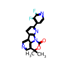 CC1(C)OC(=O)n2c3nc(-c4ccnc(F)c4F)ccc3c3cncc1c32